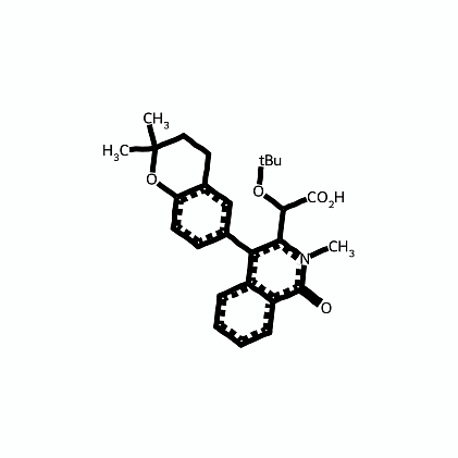 Cn1c(C(OC(C)(C)C)C(=O)O)c(-c2ccc3c(c2)CCC(C)(C)O3)c2ccccc2c1=O